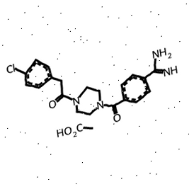 CC(=O)O.N=C(N)c1ccc(C(=O)N2CCN(C(=O)Cc3ccc(Cl)cc3)CC2)cc1